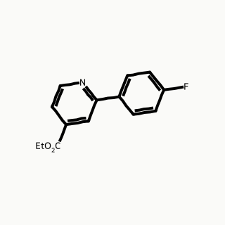 CCOC(=O)c1ccnc(-c2ccc(F)cc2)c1